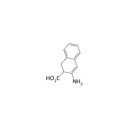 NC1=Cc2ccccc2CC1C(=O)O